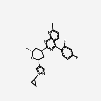 Cc1ccc2c(-c3ccc(F)cc3F)nc([C@@H]3C[C@@H](C)O[C@@H](c4cnn(C5CC5)c4)C3)nc2n1